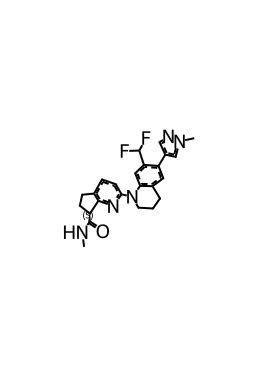 CNC(=O)[C@H]1CCc2ccc(N3CCCc4cc(-c5cnn(C)c5)c(C(F)F)cc43)nc21